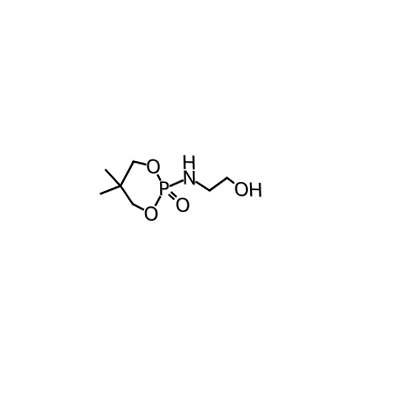 CC1(C)COP(=O)(NCCO)OC1